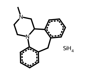 CN1CCN2c3ccccc3Cc3ccccc3C2C1.[SiH4]